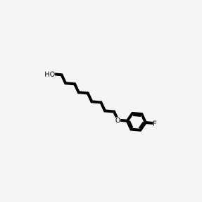 OCCCCCCCCCOc1ccc(F)cc1